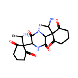 CCC(N)C1(C2NC(=O)C(C3(C(N)CC)C(=O)CCCC3=O)NC2=O)C(=O)CCCC1=O